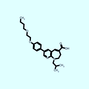 CCCCOCCOc1ccc(-c2cnc3c(c2)C=C(C(=O)O)CCN3CC(C)C)cc1